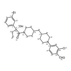 CCc1cccc([C@](O)(SF)C(=O)N2CCC(CC3CCN(c4ccc(C=O)c(Cl)c4)CC3)CC2)c1